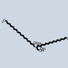 CCCCCCCCCCCCCCCCCC(=O)C[C@@H](CO)[C@H](O)[C@H](O)CCCCCCCCCCCCCC